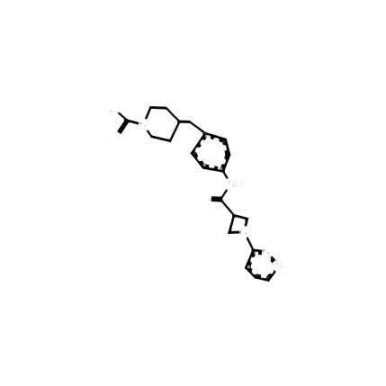 CCC(C)C(=O)N1CCC(Cc2ccc(NC(=O)C3CN(c4cccnn4)C3)cc2)CC1